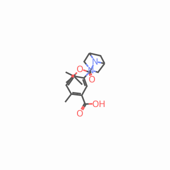 Cc1ccc(N2CC3CC(C2)N3C(=O)OC(C)(C)C)cc1C(=O)O